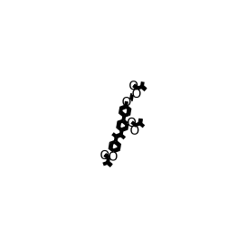 C=C(C)C(=O)OCCOc1ccc(-c2ccc(/C(C)=C(\C)c3ccc(OC(=O)C(=C)C)cc3)cc2OC(=O)C(=C)C)cc1